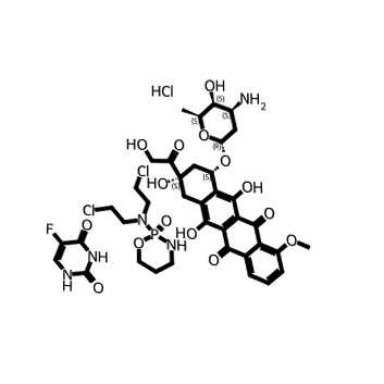 COc1cccc2c1C(=O)c1c(O)c3c(c(O)c1C2=O)C[C@@](O)(C(=O)CO)C[C@@H]3O[C@H]1C[C@H](N)[C@H](O)[C@H](C)O1.Cl.O=P1(N(CCCl)CCCl)NCCCO1.O=c1[nH]cc(F)c(=O)[nH]1